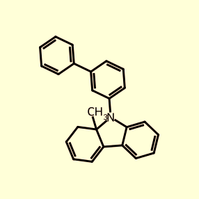 CC12CC=CC=C1c1ccccc1N2c1cccc(-c2ccccc2)c1